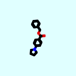 O=C(OCc1ccccc1)c1ccc(N2CCCC2)cc1